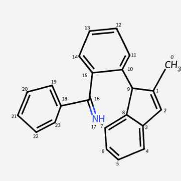 CC1=Cc2ccccc2C1c1ccccc1C(=N)c1ccccc1